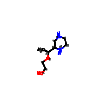 CC(OCCO)C1CNCCN1